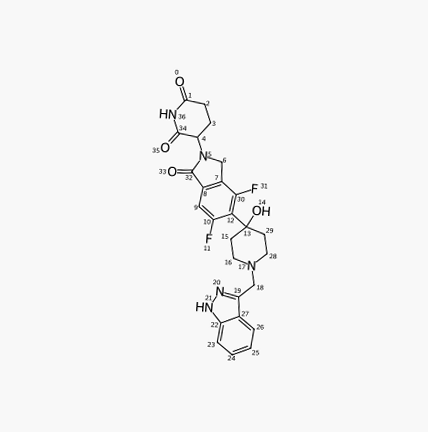 O=C1CCC(N2Cc3c(cc(F)c(C4(O)CCN(Cc5n[nH]c6ccccc56)CC4)c3F)C2=O)C(=O)N1